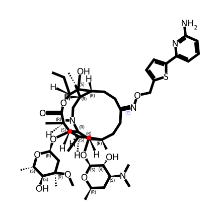 CC[C@H]1OC(=O)[C@H](C)[C@@H](O[C@H]2C[C@@](C)(OC)[C@@H](O)[C@H](C)O2)[C@H](C)[C@@H](O[C@@H]2O[C@H](C)C[C@H](N(C)C)[C@H]2O)[C@]2(C)CC/C(=N/OCc3ccc(-c4cccc(N)n4)s3)CC[C@H]([C@@H](C)CN(C)[C@H](C)C2)[C@]1(C)O